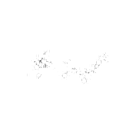 Cc1ncsc1-c1ccc([C@H](C)NC(=O)[C@@H]2C[C@@H](O)CN2C(=O)[C@@H](NC(=O)CCCCCc2cccc(OC[C@H](CCC(N)=O)NC(=O)C[C@@H]3Cc4cccc5c4N3C(=O)[C@@H](NC(=O)c3cc4cc(C(=O)P(=O)(O)O)ccc4[nH]3)CC5)c2)C(C)(C)C)cc1